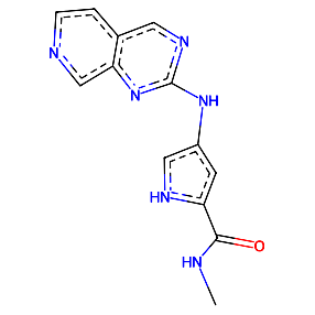 CNC(=O)c1cc(Nc2ncc3ccncc3n2)c[nH]1